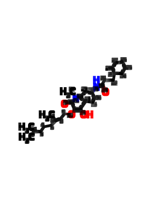 CC(C)=CCC/C(C)=C/COc1c(O)c2ccc(NC(=O)/C=C/c3ccccc3)cc2n(C)c1=O